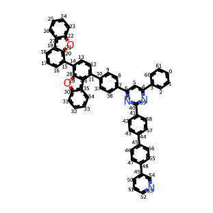 c1ccc(-c2cc(-c3ccc(-c4ccc(-c5cccc6c5oc5ccccc56)c5oc6ccccc6c45)cc3)nc(-c3ccc(-c4ccc(-c5cccnc5)cc4)cc3)n2)cc1